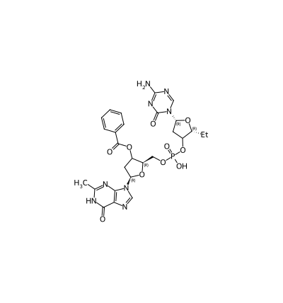 CC[C@H]1O[C@@H](n2cnc(N)nc2=O)CC1OP(=O)(O)OC[C@H]1O[C@@H](n2cnc3c(=O)[nH]c(C)nc32)CC1OC(=O)c1ccccc1